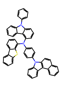 c1ccc(-n2c3ccccc3c3c(N(c4ccc(-n5c6ccccc6c6c7ccccc7ccc65)cc4)c4cccc5c4sc4ccccc45)cccc32)cc1